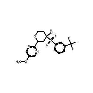 COc1cnc(C2CC(C)(S(=O)(=O)c3cccc(C(F)(F)F)c3)CCO2)nc1